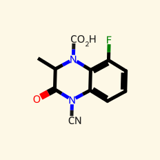 CC1C(=O)N(C#N)c2cccc(F)c2N1C(=O)O